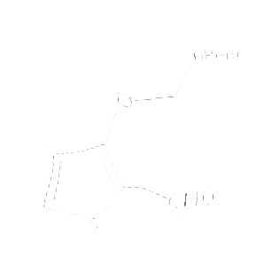 CCCCCCOc1ccsc1C=O